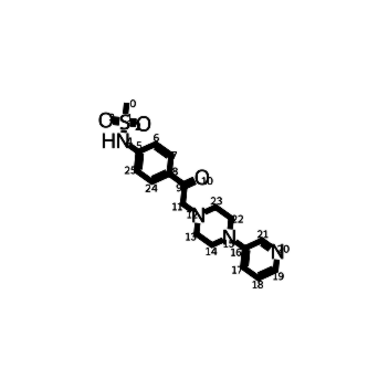 CS(=O)(=O)Nc1ccc(C(=O)CN2CCN(c3cccnc3)CC2)cc1